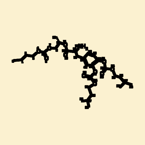 CCCCOC(=O)OC[C@H](C)OC(=O)[C@@H](N)Cc1ccc(OC(=O)OCCC(C)C)c(OC(=O)OCCC(C)C)c1